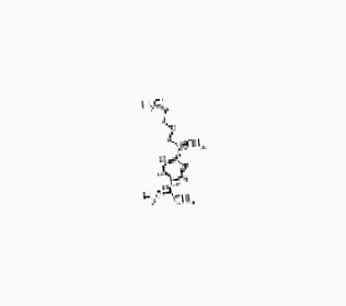 C=CCCCN(C)c1ccc(C(C)C)cc1